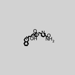 NC(=O)c1ccc(CN2CCN(C[C@H](O)CN3CCc4ccccc4C3)C2=O)nc1